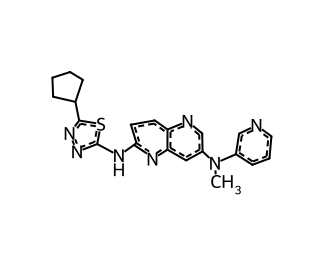 CN(c1cccnc1)c1cnc2ccc(Nc3nnc(C4CCCC4)s3)nc2c1